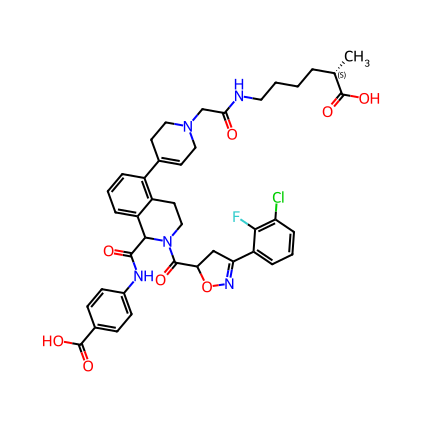 C[C@@H](CCCCNC(=O)CN1CC=C(c2cccc3c2CCN(C(=O)C2CC(c4cccc(Cl)c4F)=NO2)C3C(=O)Nc2ccc(C(=O)O)cc2)CC1)C(=O)O